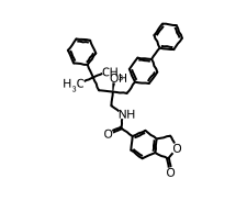 CC(C)(C[C@@](O)(CNC(=O)c1ccc2c(c1)COC2=O)Cc1ccc(-c2ccccc2)cc1)c1ccccc1